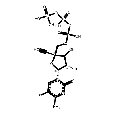 C#C[C@]1(COP(=O)(O)OP(=O)(O)OP(=O)(O)O)O[C@@H](n2cc(F)c(N)nc2=S)[C@@H](O)C1O